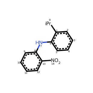 CC(C)c1ccccc1Nc1ccccc1[N+](=O)[O-]